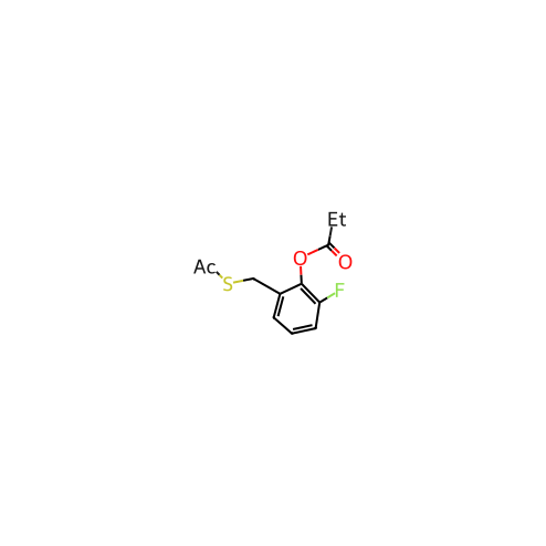 CCC(=O)Oc1c(F)cccc1CSC(C)=O